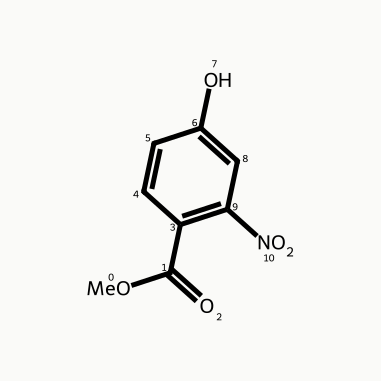 COC(=O)c1ccc(O)cc1[N+](=O)[O-]